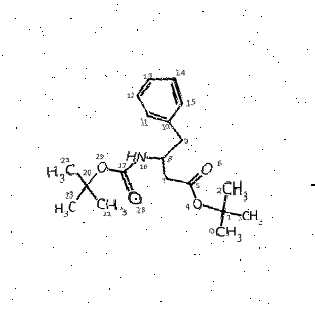 CC(C)(C)OC(=O)CC(Cc1ccccc1)NC(=O)OC(C)(C)C